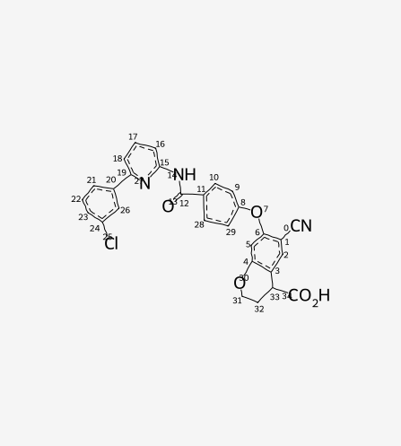 N#Cc1cc2c(cc1Oc1ccc(C(=O)Nc3cccc(-c4cccc(Cl)c4)n3)cc1)OCCC2C(=O)O